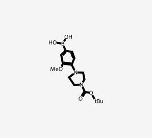 COc1cc(B(O)O)ccc1N1CCN(C(=O)OC(C)(C)C)CC1